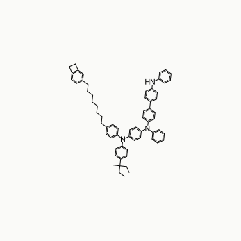 CCC(C)(CC)c1ccc(N(c2ccc(CCCCCCCCc3ccc4c(c3)CC4)cc2)c2ccc(N(c3ccccc3)c3ccc(-c4ccc(Nc5ccccc5)cc4)cc3)cc2)cc1